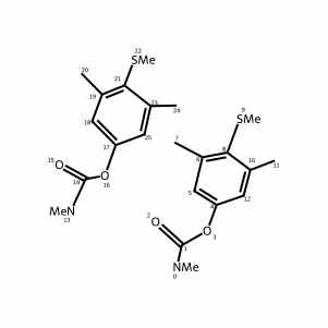 CNC(=O)Oc1cc(C)c(SC)c(C)c1.CNC(=O)Oc1cc(C)c(SC)c(C)c1